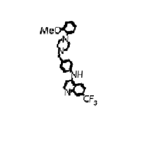 COc1ccccc1N1CCN(Cc2ccc(Nc3ccnc4cc(C(F)(F)F)ccc34)cc2)CC1